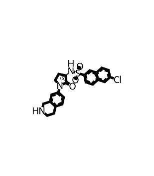 O=C1[C@@H](NS(=O)(=O)c2ccc3cc(Cl)ccc3c2)CCN1c1ccc2c(c1)CNCC2